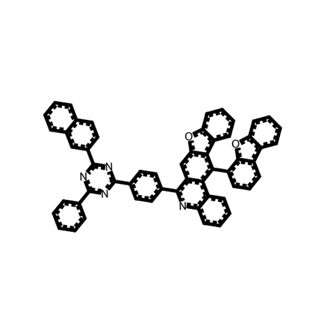 c1ccc(-c2nc(-c3ccc(-c4nc5ccccc5c5c(-c6cccc7c6oc6ccccc67)c6c(cc45)oc4ccccc46)cc3)nc(-c3ccc4ccccc4c3)n2)cc1